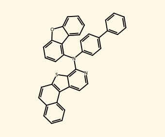 c1ccc(-c2ccc(N(c3nccc4c3sc3ccc5ccccc5c34)c3cccc4oc5ccccc5c34)cc2)cc1